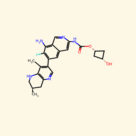 Cc1c(-c2cc3cc(NC(=O)O[C@H]4C[C@@H](O)C4)ncc3c(N)c2F)cnc2c1NC[C@H](C)C2